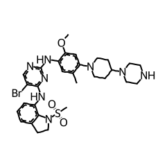 COc1cc(N2CCC(N3CCNCC3)CC2)c(C)cc1Nc1ncc(Br)c(Nc2cccc3c2N(S(C)(=O)=O)CC3)n1